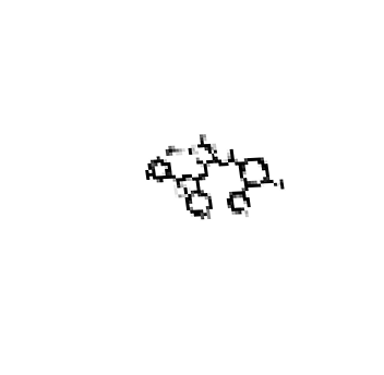 C=C(/C=C(\N=C(\C)CCCCC)C(C)/C=C(\C=C(/CC)c1cccnc1)C1=CCN=CC=C1)/C1=C/C(c2cccnc2)=C\C(CC)C#CC1